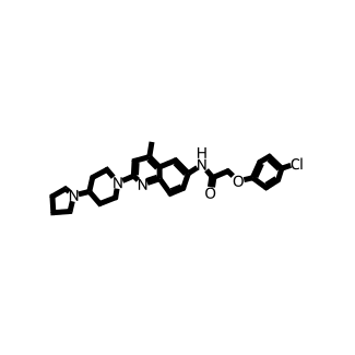 Cc1cc(N2CCC(N3CCCC3)CC2)nc2ccc(NC(=O)COc3ccc(Cl)cc3)cc12